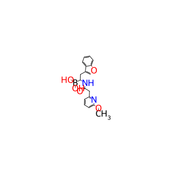 COc1cccc(CC(=O)NC(Cc2coc3ccccc23)B(O)O)n1